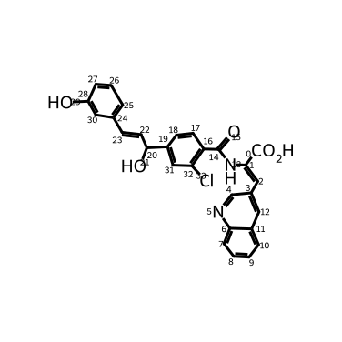 O=C(O)/C(=C/c1cnc2ccccc2c1)NC(=O)c1ccc(C(O)/C=C/c2cccc(O)c2)cc1Cl